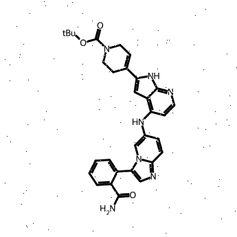 CC(C)(C)OC(=O)N1CC=C(c2cc3c(Nc4ccc5ncc(-c6ccccc6C(N)=O)n5c4)ccnc3[nH]2)CC1